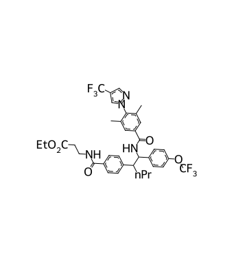 CCCC(c1ccc(C(=O)NCCC(=O)OCC)cc1)C(NC(=O)c1cc(C)c(-n2cc(C(F)(F)F)cn2)c(C)c1)c1ccc(OC(F)(F)F)cc1